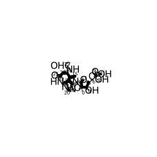 C[C@@]1(O)[C@H](O)[C@@H](COP(=O)(O)O)O[C@H]1n1cc2c3c(ncnc31)NC(=O)C=C2NC=O